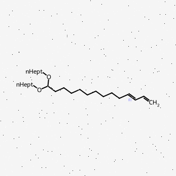 C=C/C=C/CCCCCCCCCC(OCCCCCCC)OCCCCCCC